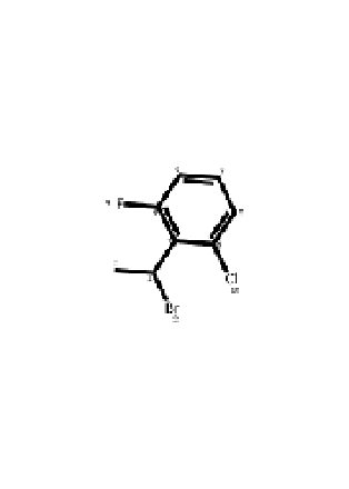 CC(Br)c1c(F)cccc1Cl